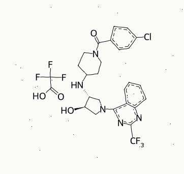 O=C(O)C(F)(F)F.O=C(c1ccc(Cl)cc1)N1CCC(N[C@@H]2CN(c3nc(C(F)(F)F)nc4ccccc34)C[C@H]2O)CC1